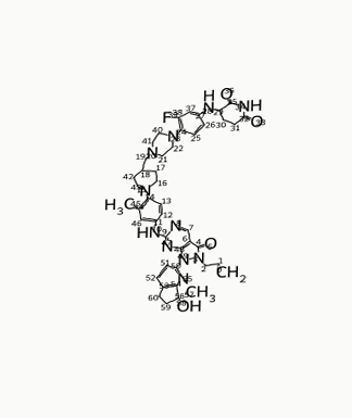 C=CCn1c(=O)c2cnc(Nc3ccc(N4CCC(CN5CCN(c6ccc(NC7CCC(=O)NC7=O)cc6F)CC5)CC4)c(C)c3)nc2n1-c1ccc2c(n1)[C@@](C)(O)CC2